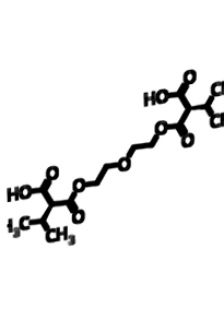 CC(C)[C@H](C(=O)O)C(=O)OCCOCCOC(=O)[C@H](C(=O)O)C(C)C